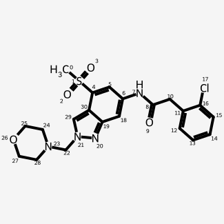 CS(=O)(=O)c1cc(NC(=O)Cc2ccccc2Cl)cc2nn(CN3CCOCC3)cc12